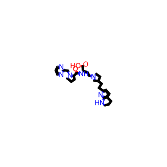 O=C(O)C(CCN1CCC(CCc2ccc3c(n2)NCCC3)C1)NC(=O)C1CCCN1Cc1ncccn1